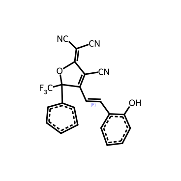 N#CC(C#N)=C1OC(c2ccccc2)(C(F)(F)F)C(/C=C/c2ccccc2O)=C1C#N